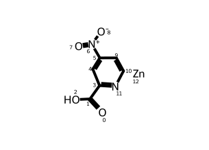 O=C(O)c1cc([N+](=O)[O-])ccn1.[Zn]